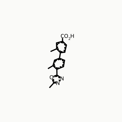 Cc1nnc(-c2ccc(-c3ccc(C(=O)O)cc3C)cc2C)o1